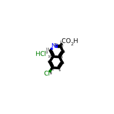 Cl.O=C(O)c1cc2ccc(Cl)cc2cn1